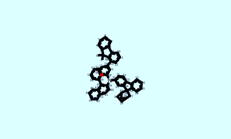 CC1(C)c2ccccc2-c2cccc(-c3cccc(N(c4ccc5c(c4)C4(CC6CCC4C6)c4ccccc4-5)c4ccc5ccccc5c4-c4ccccc4)c3)c21